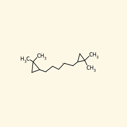 CC1(C)CC1C[CH]CCCC1CC1(C)C